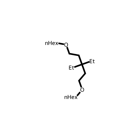 CCCCCCOCCC(CC)(CC)CCOCCCCCC